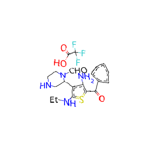 CCNc1sc(C(=O)c2ccccc2)c(N)c1C1CNCCN1C=O.O=C(O)C(F)(F)F